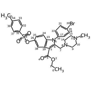 CCOC(=O)c1c(CN2CCN(C)CC2)n(-c2ccc(Br)cc2)c2ccc(OS(=O)(=O)c3ccc(C)cc3)cc12